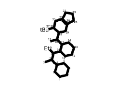 CCC(C(C)C1CCCCC1)C1CCCCC1C(C)C1CC2=C(CCC2)CC1C(C)(C)C